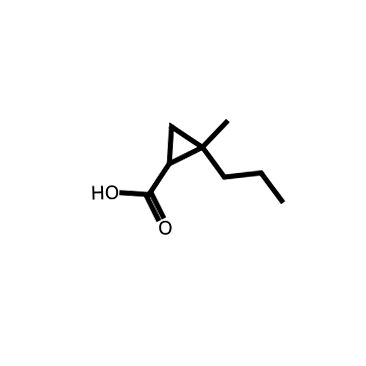 CCCC1(C)CC1C(=O)O